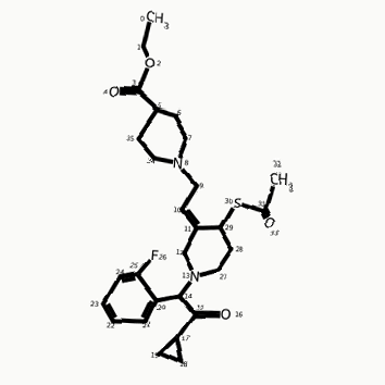 CCOC(=O)C1CCN(C/C=C2/CN(C(C(=O)C3CC3)c3ccccc3F)CCC2SC(C)=O)CC1